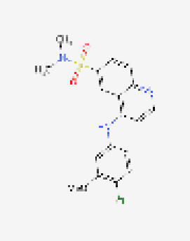 COc1cc(Nc2ccnc3ccc(S(=O)(=O)N(C)C)cc23)ccc1Cl